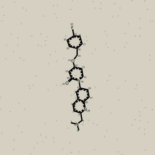 CN(C)Cc1ccc2cc(-n3ccc(OCc4ccc(F)cc4)cc3=O)ccc2n1